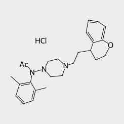 CC(=O)N(c1c(C)cccc1C)N1CCN(CCC2CCOc3ccccc32)CC1.Cl